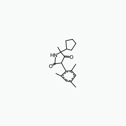 Cc1cc(C)c(C2C(=O)NC(C)(C3CCCC3)C2=O)c(C)c1